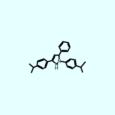 CC(C)c1ccc(C2=CC(c3ccccc3)N(c3ccc(C(C)C)cc3)N2)cc1